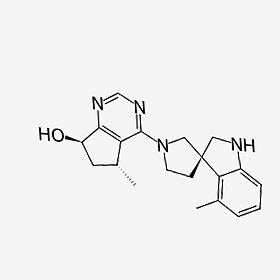 Cc1cccc2c1[C@@]1(CCN(c3ncnc4c3[C@H](C)C[C@H]4O)C1)CN2